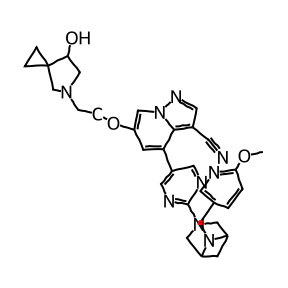 COc1ccc(CN2C3CC2CN(c2ncc(-c4cc(OCCN5CC(O)C6(CC6)C5)cn5ncc(C#N)c45)cn2)C3)cn1